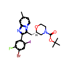 Cc1ccn2c(C[C@H]3CN(C(=O)OC(C)(C)C)CCO3)c(-c3cc(F)c(Br)cc3I)nc2c1